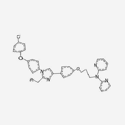 CC(C)Cc1nc(-c2ccc(OCCCN(c3ccccn3)c3ccccn3)cc2)cn1-c1ccc(Oc2ccc(Cl)cc2)cc1